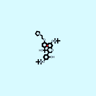 CC(O)(C1=C(c2ccc(O[Si](C)(C)C(C)(C)C)cc2O)COc2cc(O[Si](C)(C)C(C)(C)C)ccc21)c1ccc(OCCN2CCCC2)cc1